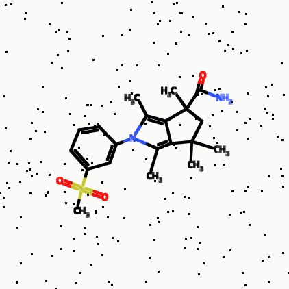 Cc1c2c(c(C)n1-c1cccc(S(C)(=O)=O)c1)C(C)(C(N)=O)CC2(C)C